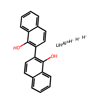 Oc1c(-c2ccc3ccccc3c2O)ccc2ccccc12.[Al+3].[H-].[H-].[H-].[LiH]